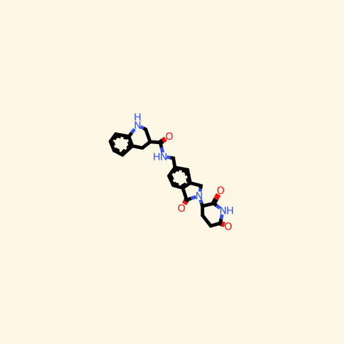 O=C1CCC(N2Cc3cc(CNC(=O)C4CNc5ccccc5C4)ccc3C2=O)C(=O)N1